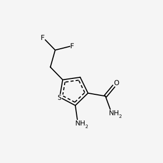 NC(=O)c1cc(CC(F)F)sc1N